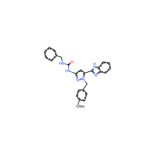 COc1ccc(Cn2nc(NC(=O)NCc3ccccc3)cc2-c2nc3ccccc3[nH]2)cc1